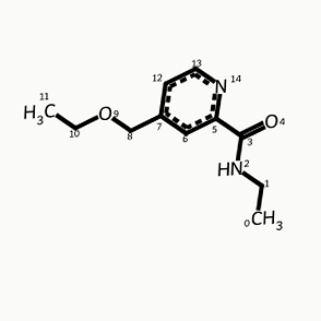 CCNC(=O)c1cc(COCC)ccn1